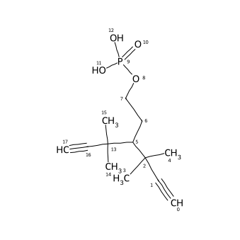 C#CC(C)(C)C(CCOP(=O)(O)O)C(C)(C)C#C